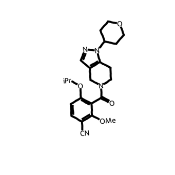 COc1c(C#N)ccc(OC(C)C)c1C(=O)N1CCc2c(cnn2C2CCOCC2)C1